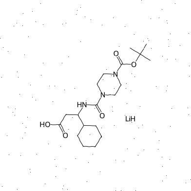 CC(C)(C)OC(=O)N1CCN(C(=O)NC(CC(=O)O)C2CCCCC2)CC1.[LiH]